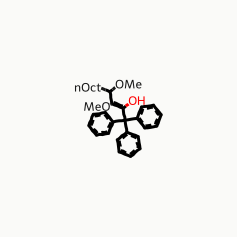 CCCCCCCCC(OC)C(OC)=C(O)C(c1ccccc1)(c1ccccc1)c1ccccc1